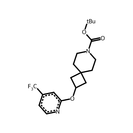 CC(C)(C)OC(=O)N1CCC2(CC1)CC(Oc1cc(C(F)(F)F)ccn1)C2